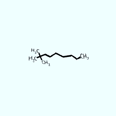 C[CH]CCCCCC(C)(C)C